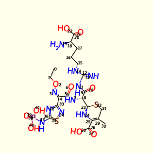 CCO/N=C(\C(=O)N[C@H](C(=O)NC(=N)NCCC[C@@H](N)C(=O)O)[C@@H]1NC(C(=O)O)=C(C)CS1)c1nsc(NP(=O)(O)O)n1